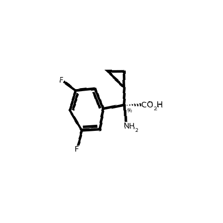 N[C@@](C(=O)O)(c1cc(F)cc(F)c1)C1CC1